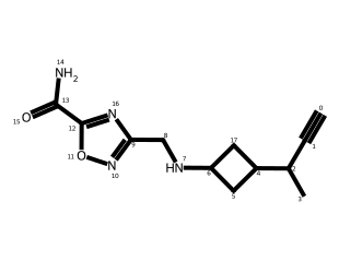 C#CC(C)C1CC(NCc2noc(C(N)=O)n2)C1